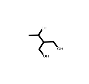 CC(O)C([CH]O)CO